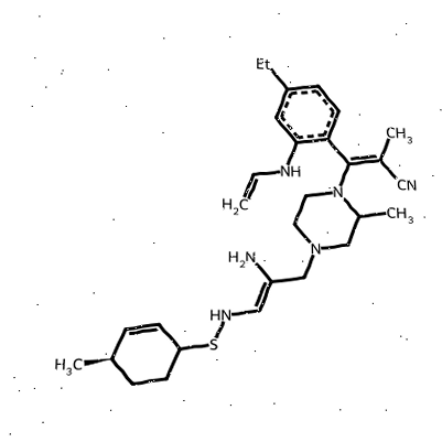 C=CNc1cc(CC)ccc1/C(=C(\C)C#N)N1CCN(C/C(N)=C/NSC2C=C[C@H](C)CC2)CC1C